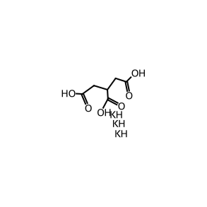 O=C(O)CC(CC(=O)O)C(=O)O.[KH].[KH].[KH]